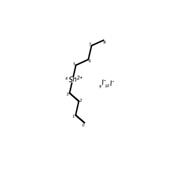 CCC[CH2][Sn+2][CH2]CCC.[I-].[I-]